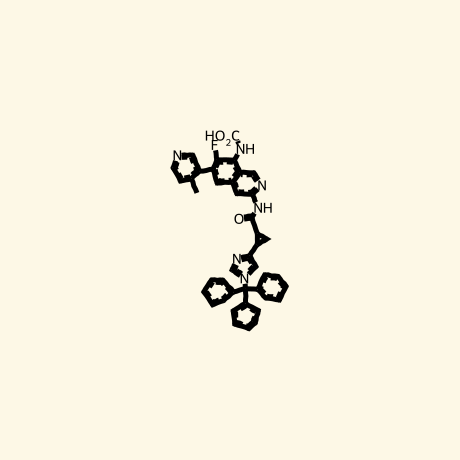 Cc1ccncc1-c1cc2cc(NC(=O)C3CC3c3cn(C(c4ccccc4)(c4ccccc4)c4ccccc4)cn3)ncc2c(NC(=O)O)c1F